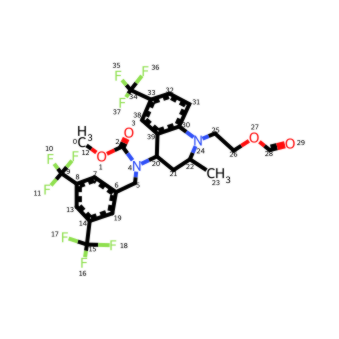 COC(=O)N(Cc1cc(C(F)(F)F)cc(C(F)(F)F)c1)C1CC(C)N(CCOC=O)c2ccc(C(F)(F)F)cc21